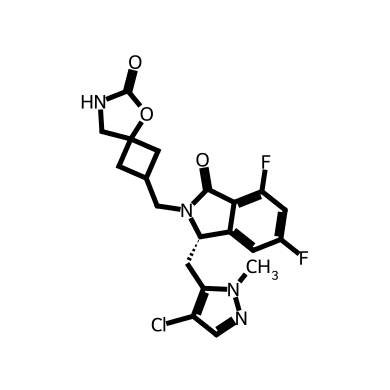 Cn1ncc(Cl)c1C[C@H]1c2cc(F)cc(F)c2C(=O)N1CC1CC2(CNC(=O)O2)C1